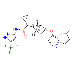 O=C(Nc1cc(C(F)(F)F)[nH]n1)C(C1CC1)[C@H]1[C@@H]2C[C@H](Oc3ccnc4ccc(F)cc34)C[C@@H]21